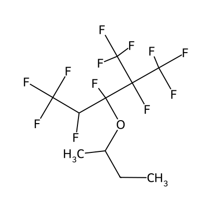 CCC(C)OC(F)(C(F)C(F)(F)F)C(F)(C(F)(F)F)C(F)(F)F